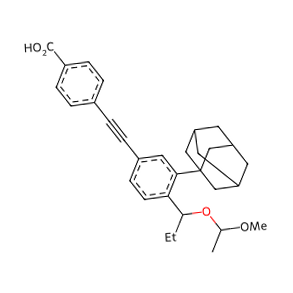 CCC(OC(C)OC)c1ccc(C#Cc2ccc(C(=O)O)cc2)cc1C12CC3CC(CC(C3)C1)C2